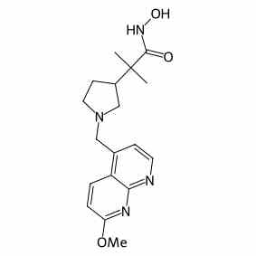 COc1ccc2c(CN3CCC(C(C)(C)C(=O)NO)C3)ccnc2n1